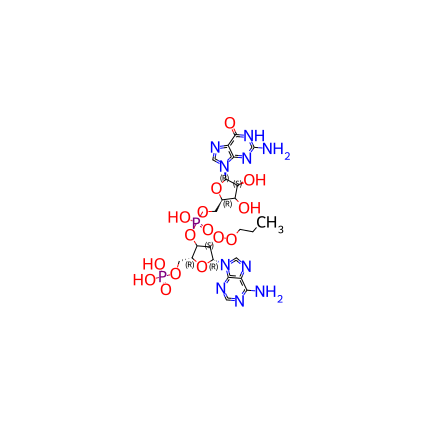 CCCOO[C@H]1C(OP(=O)(O)OC[C@H]2O[C@@H](n3cnc4c(=O)[nH]c(N)nc43)[C@@H](O)C2O)[C@@H](COP(=O)(O)O)O[C@H]1n1cnc2c(N)ncnc21